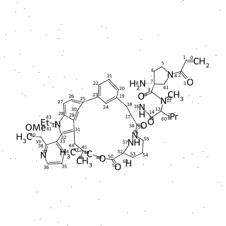 C=CC(=O)N1CC[C@](N)(C(=O)N(C)C(C(=O)N[C@H]2Cc3cccc(c3)-c3ccc4c(c3)c(c(-c3cccnc3[C@H](C)OC)n4CC)CC(C)(C)COC(=O)[C@@H]3CCCN(N3)C2=O)C(C)C)C1